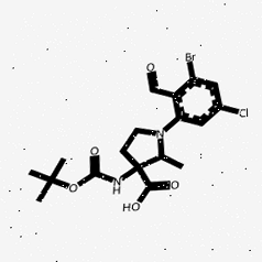 CC1N(c2cc(Cl)cc(Br)c2C=O)CCC1(NC(=O)OC(C)(C)C)C(=O)O